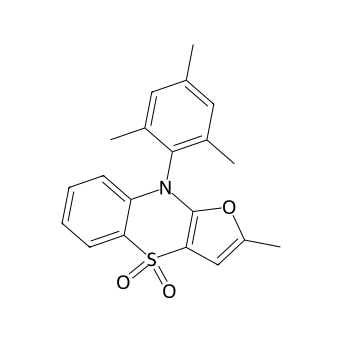 Cc1cc(C)c(N2c3ccccc3S(=O)(=O)c3cc(C)oc32)c(C)c1